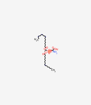 CC/C=C\C/C=C\C/C=C\CCCCCCCC(=O)O[C@H](COC(=O)CCCCCCC/C=C\CCCCCC)COP(=O)(O)OC[C@H](N)C(=O)O